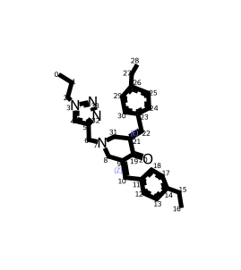 CCCn1cc(CN2C/C(=C/c3ccc(CC)cc3)C(=O)/C(=C/c3ccc(CC)cc3)C2)nn1